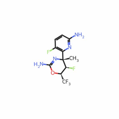 C[C@]1(c2nc(N)ccc2F)N=C(N)O[C@H](C(F)(F)F)[C@@H]1F